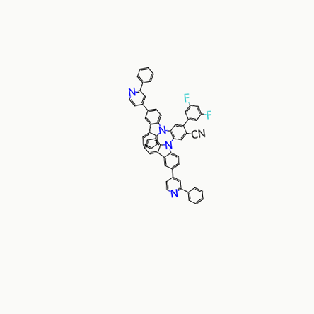 N#Cc1cc(-n2c3ccccc3c3cc(-c4ccnc(-c5ccccc5)c4)ccc32)c(-n2c3ccccc3c3cc(-c4ccnc(-c5ccccc5)c4)ccc32)cc1-c1cc(F)cc(F)c1